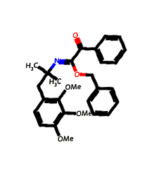 COc1ccc(CC(C)(C)N=C(OCc2ccccc2)C(=O)c2ccccc2)c(OC)c1OC